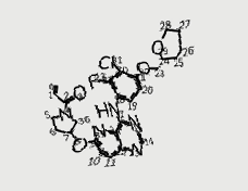 C=CC(=O)N1CC[C@H](Oc2ccc3ncnc(Nc4ccc(OC[C@H]5CCCCO5)c(Cl)c4F)c3n2)C1